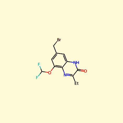 CCc1nc2c(OC(F)F)cc(CBr)cc2[nH]c1=O